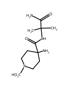 CC(C)(NC(=O)C1(N)CCN(C(=O)O)CC1)C(N)=O